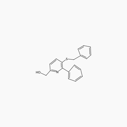 OCc1ccc(SCc2ccccc2)c(-c2ccccc2)n1